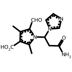 Cc1c(C(=O)O)c(C)n(C(CC(N)=O)n2ccnc2)c1C=O